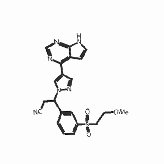 COCCS(=O)(=O)c1cccc(C(CC#N)n2cc(-c3ncnc4[nH]ccc34)cn2)c1